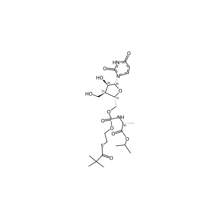 CC(C)OC(=O)[C@@H](C)NP(=O)(OCCSC(=O)C(C)(C)C)OC[C@H]1O[C@@H](n2ccc(=O)[nH]c2=O)[C@H](O)[C@@H]1CO